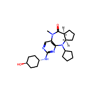 CN1C(=O)[C@H]2CCC[C@H]2N(C2CCCC2)c2nc(N[C@H]3CC[C@H](O)CC3)ncc21